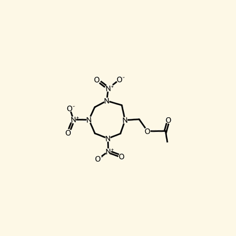 CC(=O)OCN1CN([N+](=O)[O-])CN([N+](=O)[O-])CN([N+](=O)[O-])C1